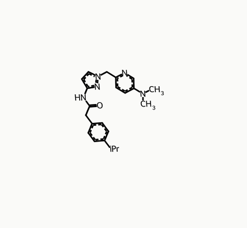 CC(C)c1ccc(CC(=O)Nc2ccn(Cc3ccc(N(C)C)cn3)n2)cc1